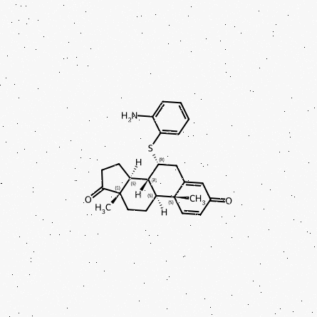 C[C@]12C=CC(=O)C=C1C[C@@H](Sc1ccccc1N)[C@@H]1[C@@H]2CC[C@]2(C)C(=O)CC[C@@H]12